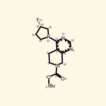 CC(C)(C)OC(=O)N1CCc2c(ncnc2N2CC[C@H](F)C2)C1